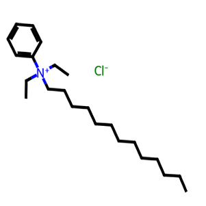 CCCCCCCCCCCCC[N+](CC)(CC)c1ccccc1.[Cl-]